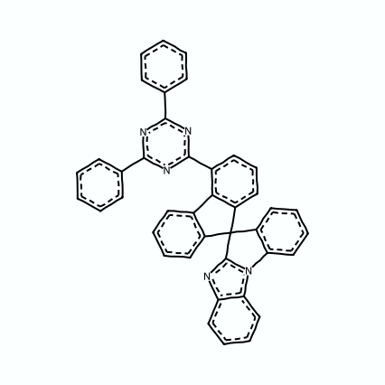 c1ccc(-c2nc(-c3ccccc3)nc(-c3cccc4c3-c3ccccc3C43c4ccccc4-n4c3nc3ccccc34)n2)cc1